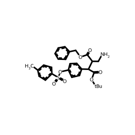 Cc1ccc(S(=O)(=O)Oc2ccc(C(C(=O)OC(C)(C)C)C(CN)C(=O)OCc3ccccc3)cc2)cc1